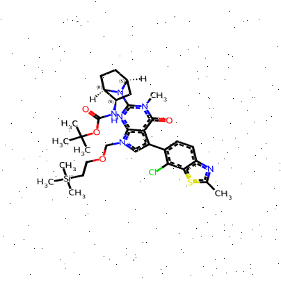 Cc1nc2ccc(-c3cn(COCC[Si](C)(C)C)c4nc(N5[C@H]6CC[C@@H]5[C@H](NC(=O)OC(C)(C)C)C6)n(C)c(=O)c34)c(Cl)c2s1